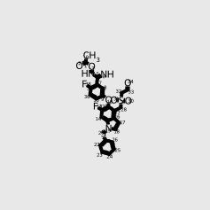 CC(=O)ONC(=N)c1cc(Oc2c(F)cc3c(ccn3Sc3ccccc3)c2CS(=O)(=O)CC=O)ccc1F